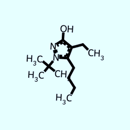 CCCCc1c(CC)c(O)nn1C(C)(C)C